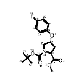 COC(=O)[C@@H]1C[C@@H](Oc2ccc(F)cc2)CN1C(=O)OC(C)(C)C